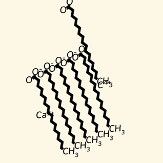 CCCCCCCCCCCCCCCCCC(=O)[O-].CCCCCCCCCCCCCCCCCC(=O)[O-].CCCCCCCCCCCCCCCCCC(=O)[O-].CCCCCCCCCCCCCCCCCC(=O)[O-].CCCCCCCCCCCCCCCCCC(=O)[O-].CCCCCCCCCCCCCCCCCC(=O)[O-].[C+4].[Ca+2]